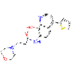 O=C(CCN1CCOCC1)Nc1ccc2c(-c3cccs3)ccnc2c1O